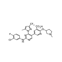 Cc1cc(C(F)(F)F)nn1-c1nc(Nc2ccc(F)c(Cl)c2)ncc1-c1cnc(OC2CCN(C)C2)c(C(=O)O)c1